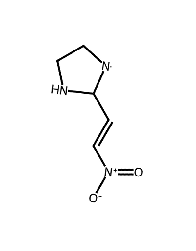 O=[N+]([O-])C=CC1[N]CCN1